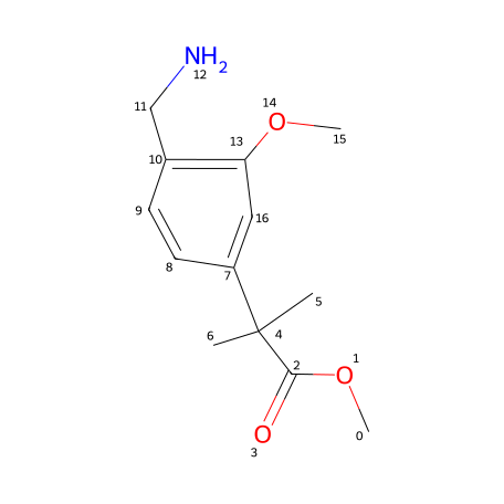 COC(=O)C(C)(C)c1ccc(CN)c(OC)c1